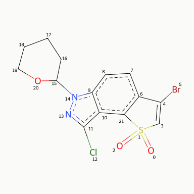 O=S1(=O)C=C(Br)c2ccc3c(c(Cl)nn3C3CCCCO3)c21